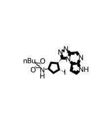 CCCCS(=O)(=O)N[C@H]1C[C@@H](I)[C@@H](c2nnc3cnc4[nH]ccc4n23)C1